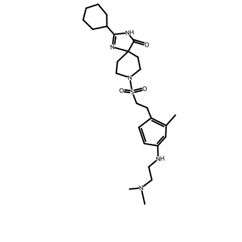 Cc1cc(NCCN(C)C)ccc1CCS(=O)(=O)N1CCC2(CC1)N=C(C1CCCCC1)NC2=O